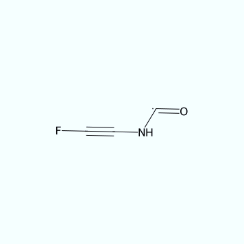 O=[C]NC#CF